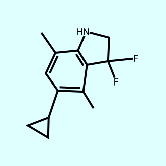 Cc1cc(C2CC2)c(C)c2c1NCC2(F)F